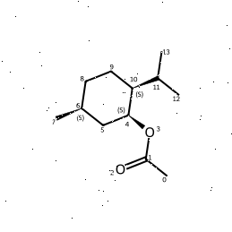 CC(=O)O[C@H]1C[C@@H](C)CC[C@H]1C(C)C